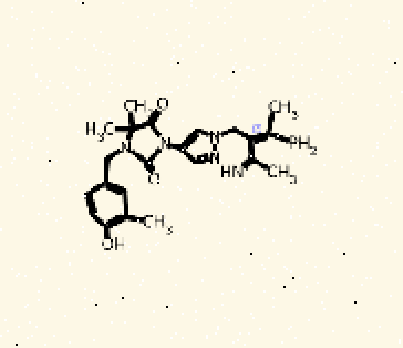 CC(=N)/C(Cn1cc(N2C(=O)N(Cc3ccc(O)c(C)c3)C(C)(C)C2=O)cn1)=C(/C)P